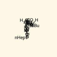 CCCCCCCOc1ccc(-c2cnc(-c3ccc(C[C@H](NC(=O)c4cnc(C(C)(C)C)nc4)C(=O)N[C@H](C)C(=O)O)cc3)nc2)cc1